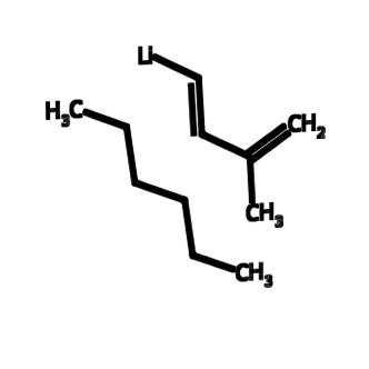 CCCCCC.[Li][CH]=CC(=C)C